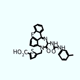 Cc1cccc(NC(=O)N[C@@H]2N=C(c3ccccc3F)c3ccccc3N(Cc3ccc(C(=O)O)s3)C2=O)c1